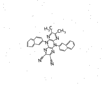 Cc1nc2c(nc1C)N(c1ccc3ccccc3c1)c1nc(C#N)c(C#N)nc1N2c1ccc2ccccc2c1